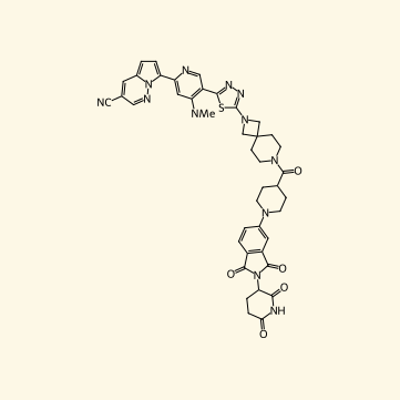 CNc1cc(-c2ccc3cc(C#N)cnn23)ncc1-c1nnc(N2CC3(CCN(C(=O)C4CCN(c5ccc6c(c5)C(=O)N(C5CCC(=O)NC5=O)C6=O)CC4)CC3)C2)s1